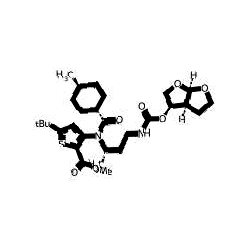 COC(=O)c1sc(C(C)(C)C)cc1N(C(=O)[C@H]1CC[C@H](C)CC1)[C@@H](C)CCNC(=O)O[C@H]1CO[C@H]2OCC[C@H]21